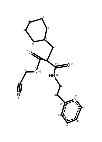 N#CCNC(=O)C(CC1CCCCC1)C(=O)NCCc1ccccn1